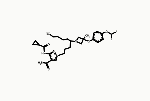 CC1(Oc2ccc(OC(F)F)cc2)CN(C(CCCCC#N)CCCn2cc(C(N)=O)c(NC(=O)C3CC3)n2)C1